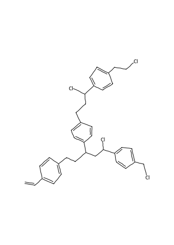 C=Cc1ccc(CCC(CC(Cl)c2ccc(CCl)cc2)c2ccc(CCC(Cl)c3ccc(CCCl)cc3)cc2)cc1